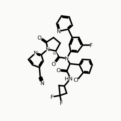 N#Cc1ccnc(N2C(=O)CC[C@H]2C(=O)N(c2cc(F)cc(-c3ccccn3)c2)C(C(=O)NC2CC(F)(F)C2)c2ccccc2Cl)c1